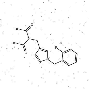 O=C(O)C(Cc1cnn(Cc2ccccc2F)c1)C(=O)O